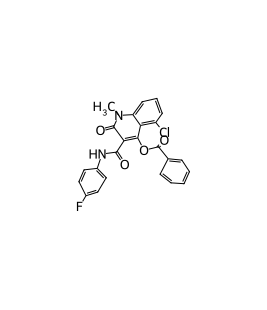 Cn1c(=O)c(C(=O)Nc2ccc(F)cc2)c(OC(=O)c2ccccc2)c2c(Cl)cccc21